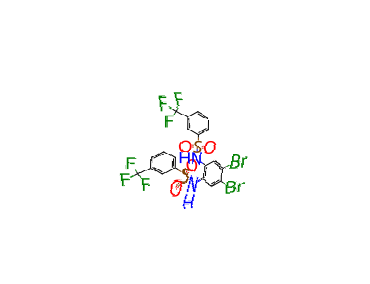 O=S(=O)(Nc1cc(Br)c(Br)cc1NS(=O)(=O)c1cccc(C(F)(F)F)c1)c1cccc(C(F)(F)F)c1